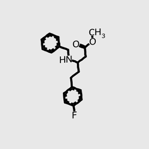 COC(=O)CC(CCc1ccc(F)cc1)NCc1ccccc1